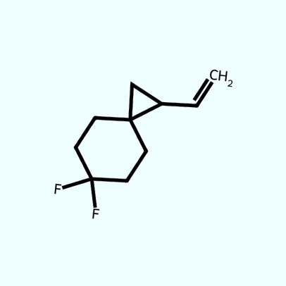 C=CC1CC12CCC(F)(F)CC2